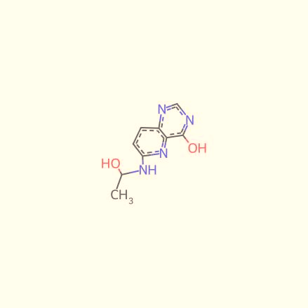 CC(O)Nc1ccc2ncnc(O)c2n1